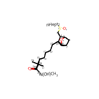 CCCCCCC[S+]([O-])CC1C2CCC(O2)C1CCCCCC(C)(C)C(=O)N(C)O